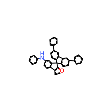 c1ccc(Nc2ccc3c(c2)C2(c4ccc(-c5ccccc5)cc4-c4cc(-c5ccccc5)ccc42)c2occc2-3)cc1